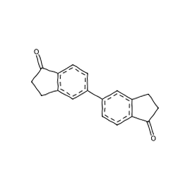 O=C1CCc2cc(-c3ccc4c(c3)CCC4=O)ccc21